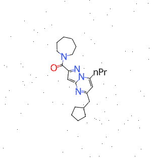 CCCc1cc(CC2CCCC2)nc2cc(C(=O)N3CCCCCC3)nn12